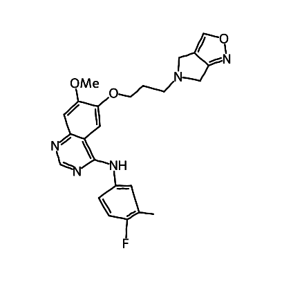 COc1cc2ncnc(Nc3ccc(F)c(C)c3)c2cc1OCCCN1Cc2conc2C1